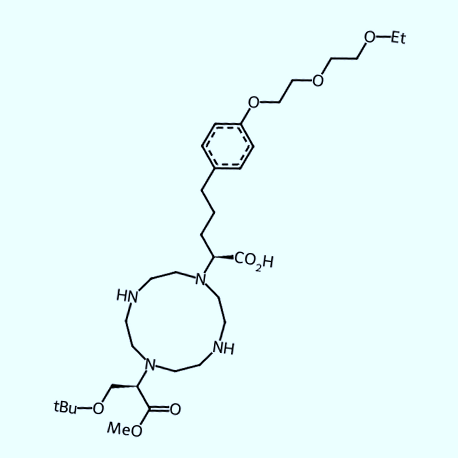 CCOCCOCCOc1ccc(CCC[C@@H](C(=O)O)N2CCNCCN([C@H](COC(C)(C)C)C(=O)OC)CCNCC2)cc1